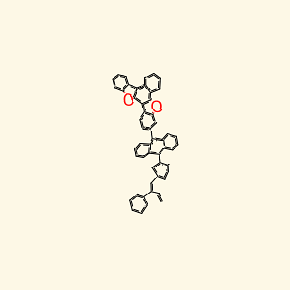 C=C/C(=C\c1cccc(-c2c3ccccc3c(-c3ccc4c(c3)oc3c5ccccc5c5c6ccccc6oc5c43)c3ccccc23)c1)c1ccccc1